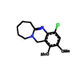 COc1cc(Cl)c2c(c1OC)CN1CCCCCC1=N2